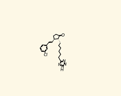 O=C1CC[C@H](/C=C/c2cccc(Cl)c2)[C@H]1CCCCCCc1nn[nH]n1